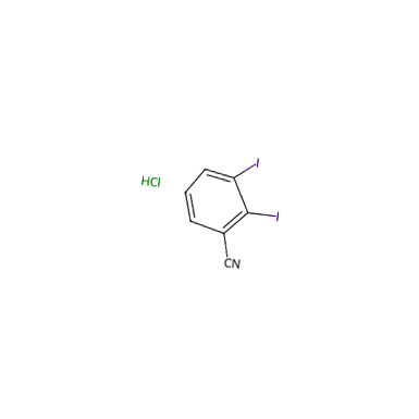 Cl.N#Cc1cccc(I)c1I